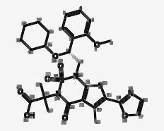 COc1ccccc1[C@H](CN1c2sc(-c3ncco3)c(C)c2C(=O)N(C(C)(C)C(=O)O)S1(=O)=O)OC1CCCCC1